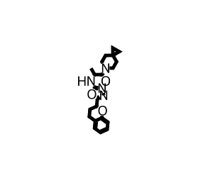 CC(Nc1nnc(C2CCc3ccccc3O2)o1)C(=O)N1CCC2(CC1)CC2